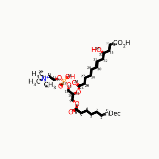 CCCCCCCCCCCCCCCC(=O)OCC(COP(=O)(O)OCC[N+](C)(C)C)OC(=O)CCCCC=CCC(O)CCC(=O)O